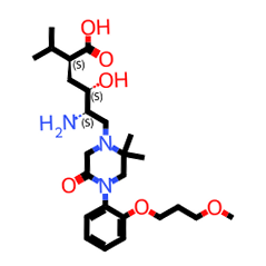 COCCCOc1ccccc1N1CC(C)(C)N(C[C@H](N)[C@@H](O)C[C@H](C(=O)O)C(C)C)CC1=O